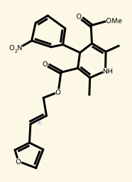 COC(=O)C1=C(C)NC(C)=C(C(=O)OC/C=C/c2ccoc2)C1c1cccc([N+](=O)[O-])c1